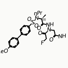 CCCN([C@@H](C)C(=O)NN(CC(N)=O)C(=O)CF)S(=O)(=O)c1ccc(-c2ccc(OC)cc2)cc1